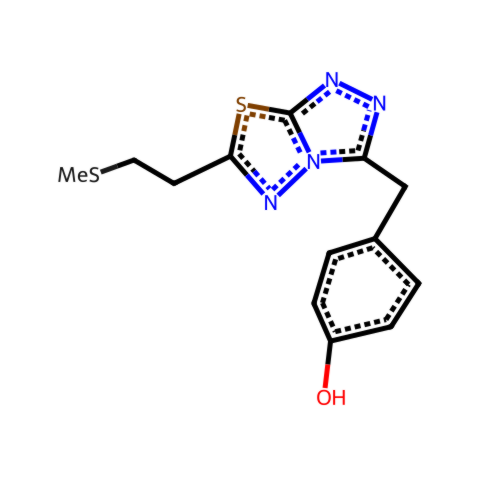 CSCCc1nn2c(Cc3ccc(O)cc3)nnc2s1